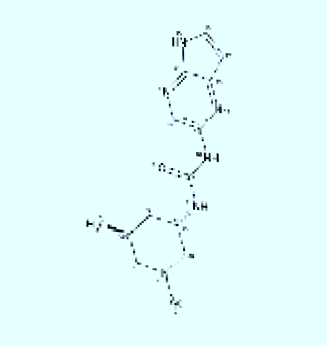 CC(=O)N1C[C@@H](C)C[C@H](NC(=O)Nc2cnc3[nH]ccc3n2)C1